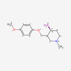 COc1ccc(OCC2CN(C)CC[C@@H]2P)cc1